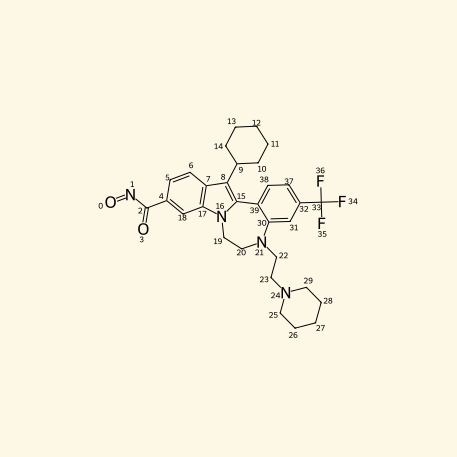 O=NC(=O)c1ccc2c(C3CCCCC3)c3n(c2c1)CCN(CCN1CCCCC1)c1cc(C(F)(F)F)ccc1-3